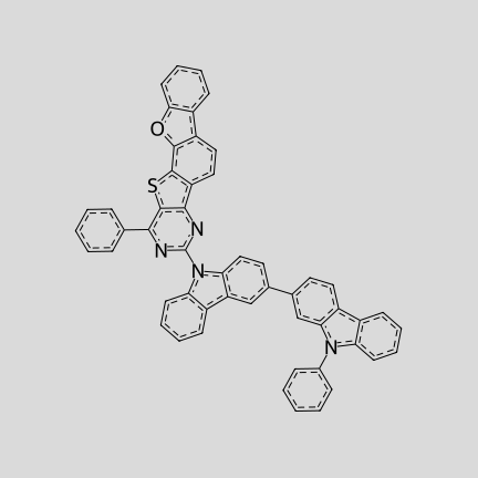 c1ccc(-c2nc(-n3c4ccccc4c4cc(-c5ccc6c7ccccc7n(-c7ccccc7)c6c5)ccc43)nc3c2sc2c3ccc3c4ccccc4oc32)cc1